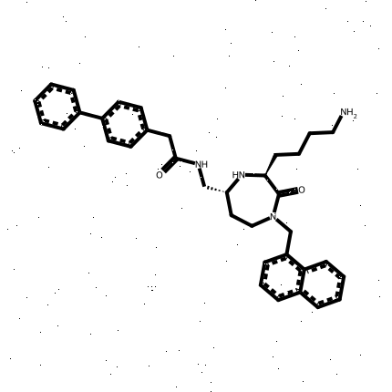 NCCCC[C@@H]1N[C@@H](CNC(=O)Cc2ccc(-c3ccccc3)cc2)CCN(Cc2cccc3ccccc23)C1=O